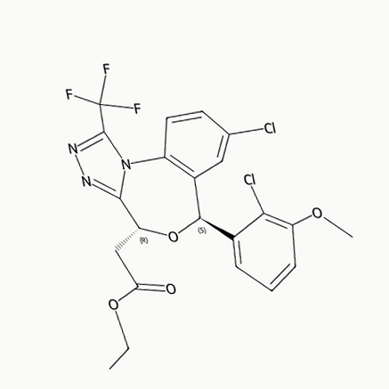 CCOC(=O)C[C@H]1O[C@H](c2cccc(OC)c2Cl)c2cc(Cl)ccc2-n2c1nnc2C(F)(F)F